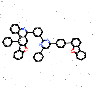 c1ccc(-c2cc(-c3ccc(-c4cccc5c4oc4ccccc45)cc3)nc(-c3cccc(-c4nc5ccccc5c5c(-c6ccccc6)c6c(cc45)oc4ccccc46)c3)n2)cc1